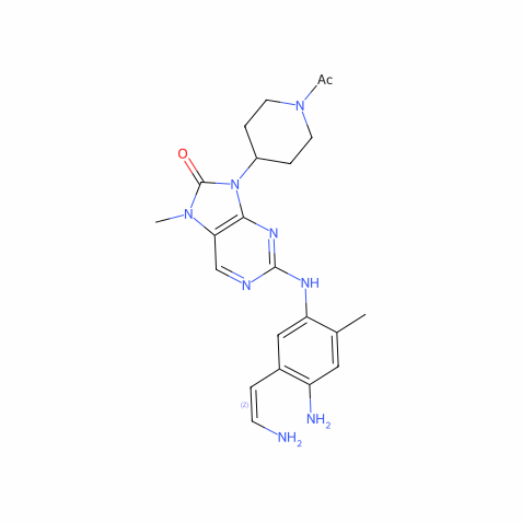 CC(=O)N1CCC(n2c(=O)n(C)c3cnc(Nc4cc(/C=C\N)c(N)cc4C)nc32)CC1